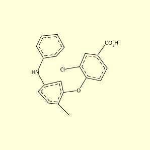 Cc1ccc(Nc2ccccc2)cc1Oc1ccc(C(=O)O)cc1Cl